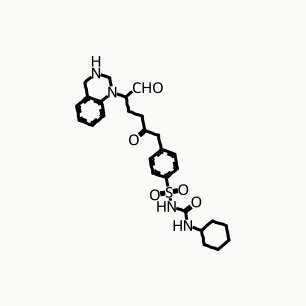 O=CC(CCC(=O)Cc1ccc(S(=O)(=O)NC(=O)NC2CCCCC2)cc1)N1CNCc2ccccc21